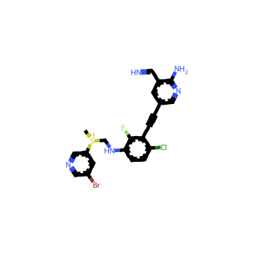 C[SH](CNc1ccc(Cl)c(C#Cc2cnc(N)c(C=N)c2)c1F)c1cncc(Br)c1